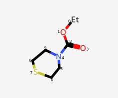 CCOC(=O)N1CCSCC1